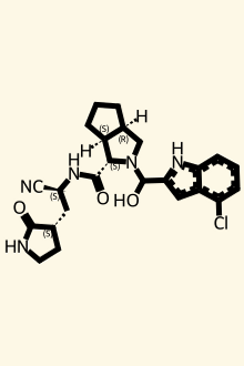 N#C[C@H](C[C@@H]1CCNC1=O)NC(=O)[C@@H]1[C@H]2CCC[C@H]2CN1C(O)c1cc2c(Cl)cccc2[nH]1